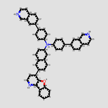 c1ccc2c(c1)oc1c(-c3ccc4cc(N(c5ccc(-c6ccc7ccncc7c6)cc5)c5ccc(-c6ccc7ccncc7c6)cc5)ccc4c3)ccnc12